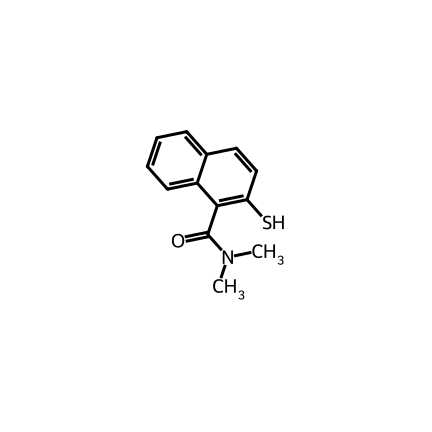 CN(C)C(=O)c1c(S)ccc2ccccc12